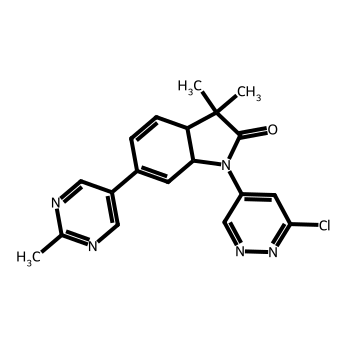 Cc1ncc(C2=CC3C(C=C2)C(C)(C)C(=O)N3c2cnnc(Cl)c2)cn1